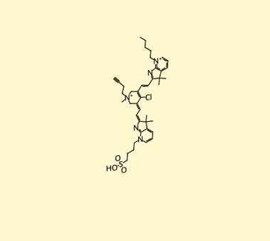 C#CCC[N+]1(C)CC(/C=C/C2=Nc3c(ccc[n+]3CCCCC)C2(C)C)=C(Cl)C(=C/C=C2/N=C3C(=CC=CN3CCCCS(=O)(=O)O)C2(C)C)/C1